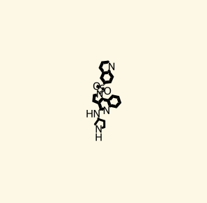 O=S(=O)(c1ccc2ncccc2c1)n1ccc2c(NC3CCNC3)nc3ccccc3c21